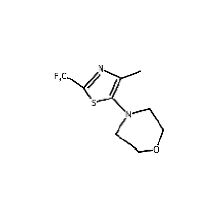 Cc1nc(C(F)(F)F)sc1N1CCOCC1